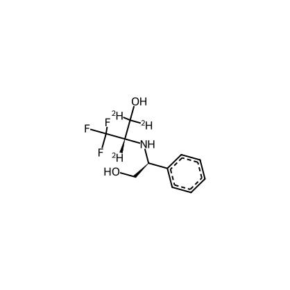 [2H]C([2H])(O)[C@]([2H])(N[C@H](CO)c1ccccc1)C(F)(F)F